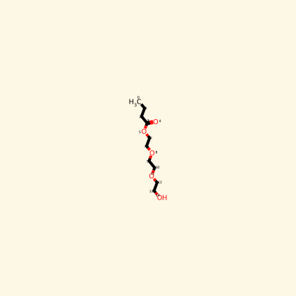 CCCC(=O)OCCOCCOCCO